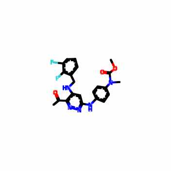 COC(=O)N(C)c1ccc(Nc2cc(NCc3cccc(F)c3F)c(C(C)=O)nn2)cc1